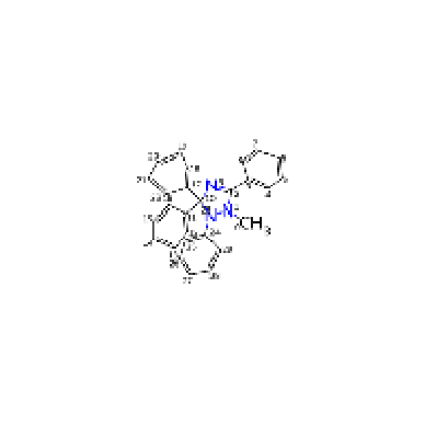 CN1C(c2ccccc2)=NC(c2ccccc2)(c2ccccc2)N1c1ccccc1